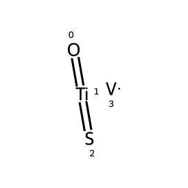 [O]=[Ti]=[S].[V]